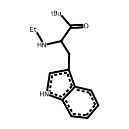 CCNC(Cc1c[nH]c2ccccc12)C(=O)C(C)(C)C